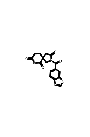 O=C1CCC2(CC(=O)N(C(=O)c3ccc4ncoc4c3)C2)C(=O)N1